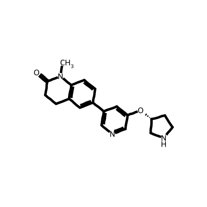 CN1C(=O)CCc2cc(-c3cncc(O[C@@H]4CCNC4)c3)ccc21